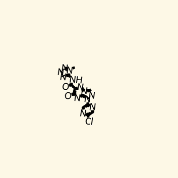 Cn1nnnc1NC(=O)c1nn2cnn(-c3cnc(Cl)cn3)c2nc1=O